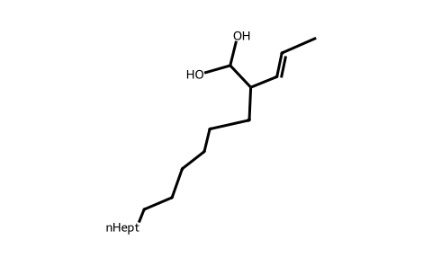 CC=CC(CCCCCCCCCCCCC)C(O)O